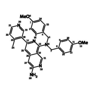 COc1ccc(CN(Cc2ccc(OC)cc2)c2nc(-c3cnccc3C)cc3cc(N)ncc23)cc1